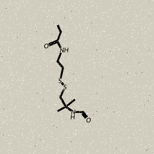 CCC(=O)NCCSSCC(C)(C)NC=O